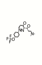 CN(C)/C=C/C(=O)c1nn(-c2ccc(OC(F)(F)F)cc2)ccc1=O